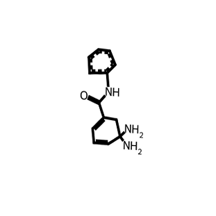 NC1(N)C=CC=C(C(=O)Nc2ccccc2)C1